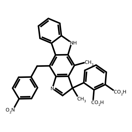 Cc1c2c(c(Cc3ccc([N+](=O)[O-])cc3)c3c1[nH]c1ccccc13)N=CC2(C)c1cccc(C(=O)O)c1C(=O)O